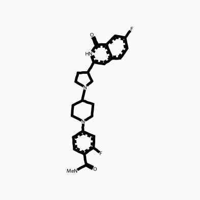 CNC(=O)c1ccc(N2CCC(N3CCC(c4cc5ccc(F)cc5c(=O)[nH]4)C3)CC2)cc1F